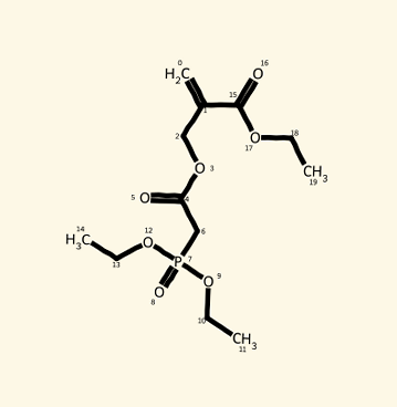 C=C(COC(=O)CP(=O)(OCC)OCC)C(=O)OCC